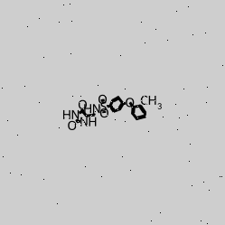 Cc1ccccc1Oc1ccc(S(=O)(=O)NCC2NC(=O)NC2=O)cc1